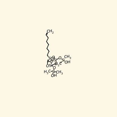 C=CCCCCCC[Si]1=C2O[Si](O[Si](C)(C)O)(O2)O[SiH](O[Si](C)(C)O)O1